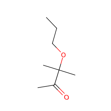 CCCOC(C)(C)C(C)=O